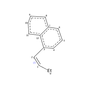 CC/C=[C]\c1cccc2ccccc12